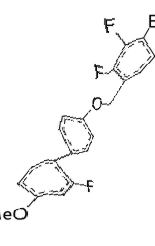 CCc1ccc(COc2ccc(-c3ccc(OC)cc3F)cc2)c(F)c1F